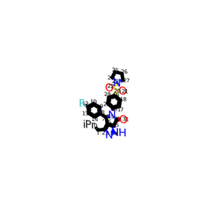 CC(C)Cc1n[nH]c2c1C(c1ccc(F)cc1)N(c1ccc(S(=O)(=O)N3CCCC3)cc1)C2=O